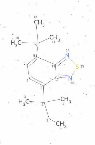 CCC(C)(C)c1ccc(C(C)(C)C)c2nsnc12